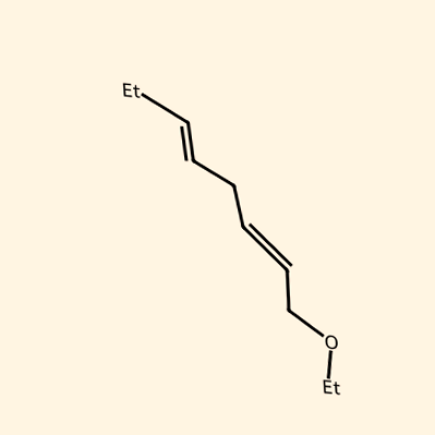 [CH2]CC=CCC=CCOC[CH2]